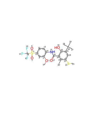 COc1cc(S(=O)(=O)C(F)(F)F)ccc1NC(=O)c1c(C)c(SC)cc(C(C)(C)C)c1O